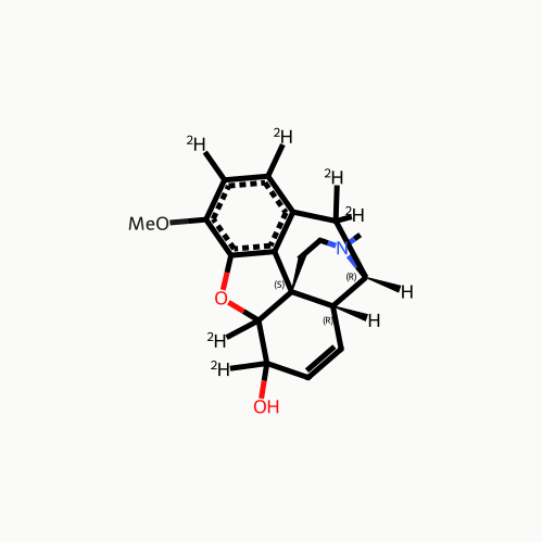 [2H]c1c([2H])c2c3c(c1OC)OC1([2H])C([2H])(O)C=C[C@H]4[C@H](N(C)CC[C@@]341)C2([2H])[2H]